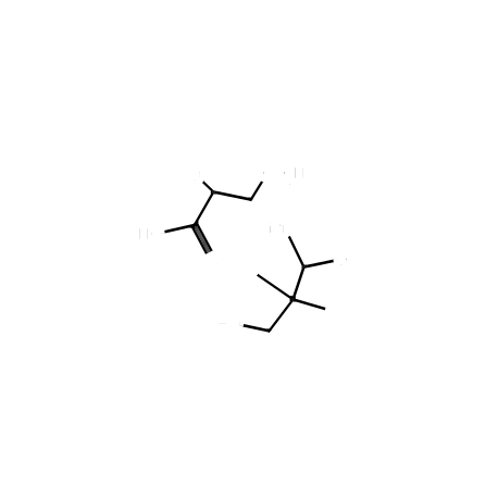 CC(C)C(O)C(C)(C)CO.O=C(O)CC(O)C(O)=S